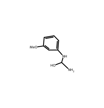 COc1cccc(NC(N)O)c1